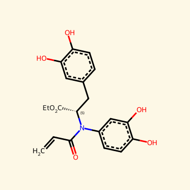 C=CC(=O)N(c1ccc(O)c(O)c1)[C@@H](Cc1ccc(O)c(O)c1)C(=O)OCC